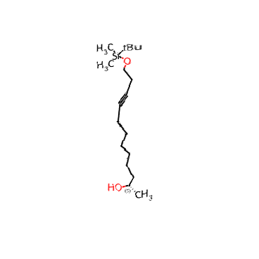 C[C@H](O)CCCCCCC#CCCO[Si](C)(C)C(C)(C)C